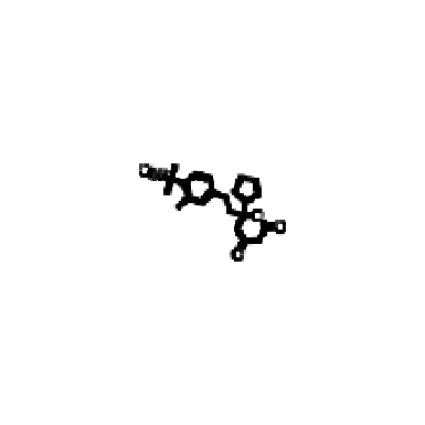 [C-]#[N+]C(C)(C)c1ccc(CCC2(C3CCCC3)CC(=O)CC(=O)O2)cc1C